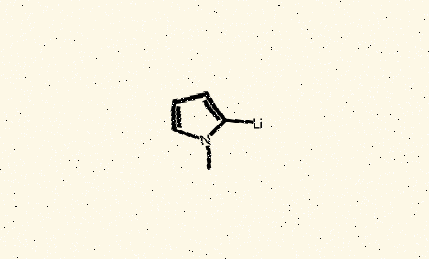 [Li][c]1cccn1C